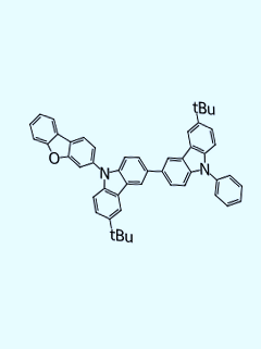 CC(C)(C)c1ccc2c(c1)c1cc(-c3ccc4c(c3)c3cc(C(C)(C)C)ccc3n4-c3ccc4c(c3)oc3ccccc34)ccc1n2-c1ccccc1